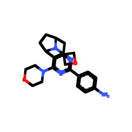 Nc1ccc(-c2nc3c(c(N4CCOCC4)n2)C2CCC(C3)N2C2COC2)cc1